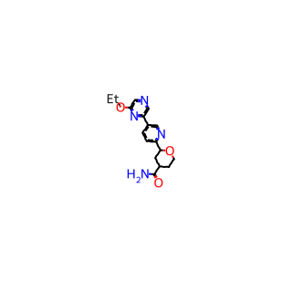 CCOc1cncc(-c2ccc(C3CC(C(N)=O)CCO3)nc2)n1